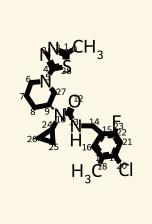 Cc1nnc(N2CCC[C@@H](N(C(=O)NCc3cc(C)c(Cl)cc3F)C3CC3)C2)s1